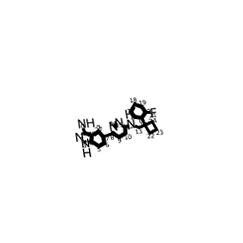 Nc1n[nH]c2ccc(-c3ccc(NCC4(c5ccccc5F)CCC4)nn3)cc12